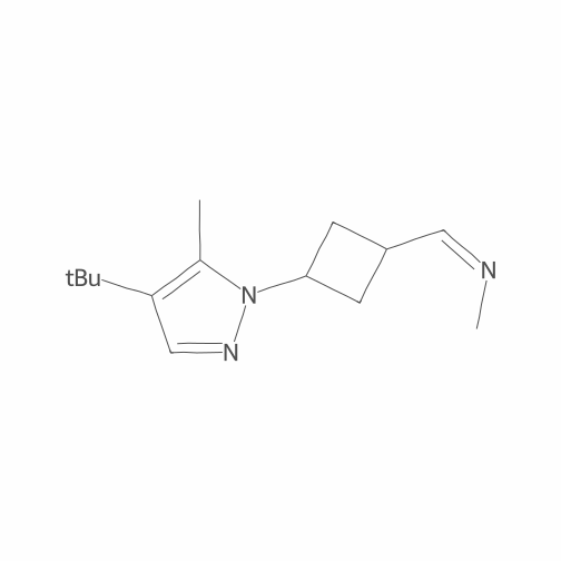 C/N=C\C1CC(n2ncc(C(C)(C)C)c2C)C1